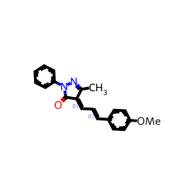 COc1ccc(/C=C/C=C2/C(=O)N(c3ccccc3)N=C2C)cc1